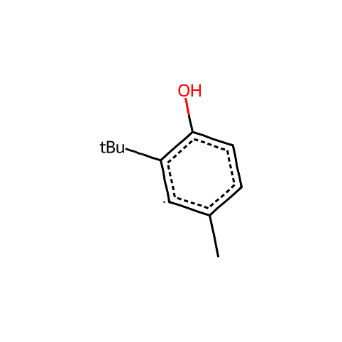 Cc1[c]c(C(C)(C)C)c(O)cc1